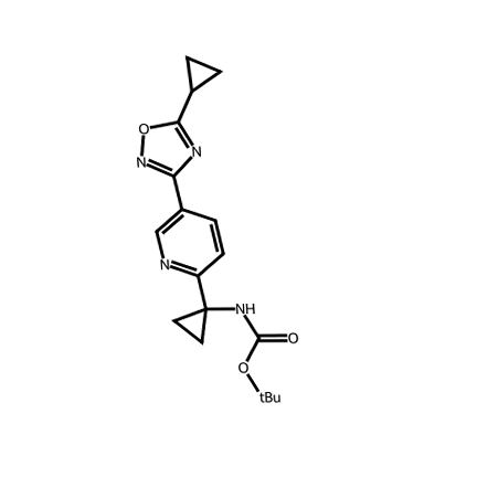 CC(C)(C)OC(=O)NC1(c2ccc(-c3noc(C4CC4)n3)cn2)CC1